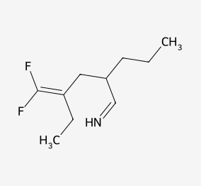 CCCC(C=N)CC(CC)=C(F)F